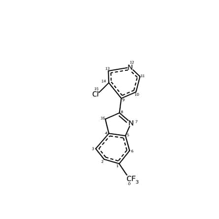 FC(F)(F)c1ccc2c(c1)N=C(c1ccncc1Cl)C2